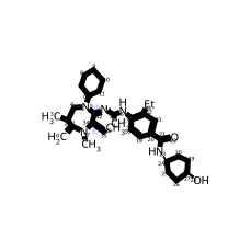 C=C1C(C)CN(C2CCCCC2)C(=N/C(C)Nc2ccc(C(=O)N[C@H]3CC[C@H](O)CC3)cc2CC)/C(=C\C)N1C